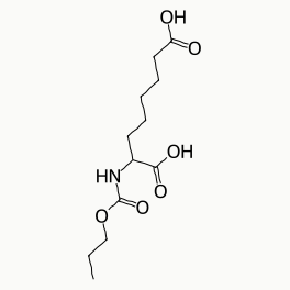 CCCOC(=O)NC(CCCCCC(=O)O)C(=O)O